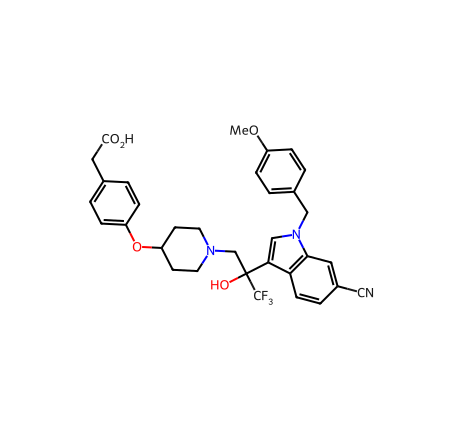 COc1ccc(Cn2cc(C(O)(CN3CCC(Oc4ccc(CC(=O)O)cc4)CC3)C(F)(F)F)c3ccc(C#N)cc32)cc1